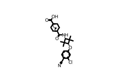 CC1(C)[C@H](NC(=O)C23CCC(C(=O)O)(CC2)CC3)C(C)(C)[C@H]1Oc1ccc(C#N)c(Cl)c1